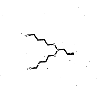 C=CCN(OCCCCO)OCCCCO